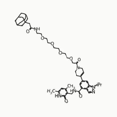 Cc1cc(C)c(CNC(=O)c2cc(C3=CCN(C(=O)COCCOCCOCCOCCNC(=O)CC45CC6CC(CC(C6)C4)C5)CC3)cc3c2cnn3C(C)C)c(=O)[nH]1